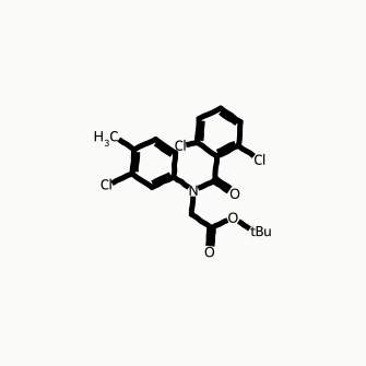 Cc1ccc(N(CC(=O)OC(C)(C)C)C(=O)c2c(Cl)cccc2Cl)cc1Cl